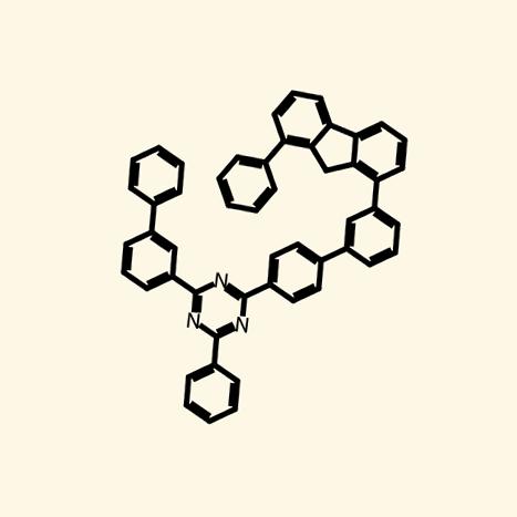 c1ccc(-c2cccc(-c3nc(-c4ccccc4)nc(-c4ccc(-c5cccc(-c6cccc7c6Cc6c(-c8ccccc8)cccc6-7)c5)cc4)n3)c2)cc1